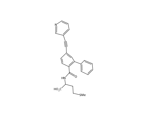 CSCCC(NC(=O)c1ccc(C#Cc2cccnc2)cc1-c1ccccc1)C(=O)O